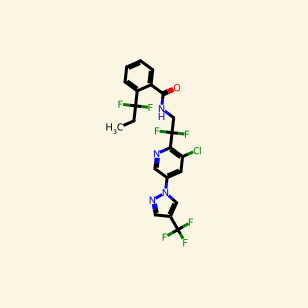 CCC(F)(F)c1ccccc1C(=O)NCC(F)(F)c1ncc(-n2cc(C(F)(F)F)cn2)cc1Cl